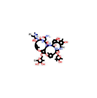 CCC1OC(COc2c3cc4cc2Oc2ccc(cc2C)C(OC2CC(C)(C)C(O)C(C)O2)C2NC(=O)C(NC(=O)C4NC(=O)C(CC(N)=O)NC(=O)C(NC(=O)C(CC(C)C)N(C)C)C(O)c4ccc(c(C)c4)O3)c3ccc(O)c(c3)-c3c(cc(O)c(C)c3O)C(C(C)=O)NC2=O)C(C)C(O)C1O